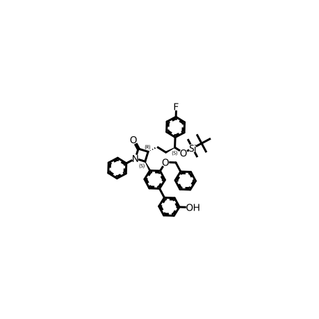 CC(C)(C)[Si](C)(C)O[C@@H](CC[C@H]1C(=O)N(c2ccccc2)[C@@H]1c1ccc(-c2cccc(O)c2)cc1OCc1ccccc1)c1ccc(F)cc1